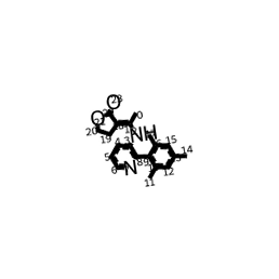 CC(Nc1cccnc1-c1c(C)cc(C)cc1C)=C1CCOC1=O